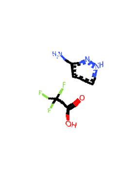 Nc1cc[nH]n1.O=C(O)C(F)(F)F